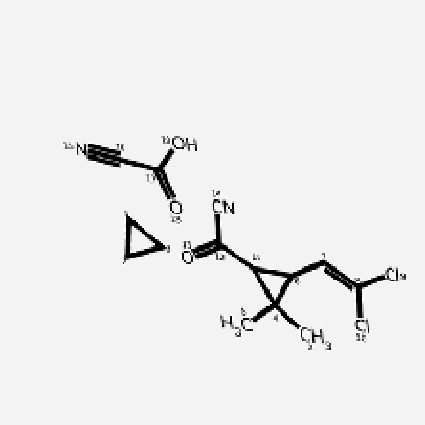 C1CC1.CC1(C)C(C=C(Cl)Cl)C1C(=O)C#N.N#CC(=O)O